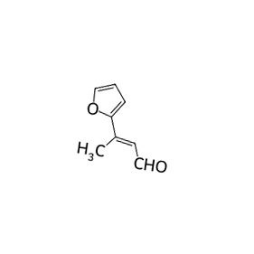 CC(=CC=O)c1ccco1